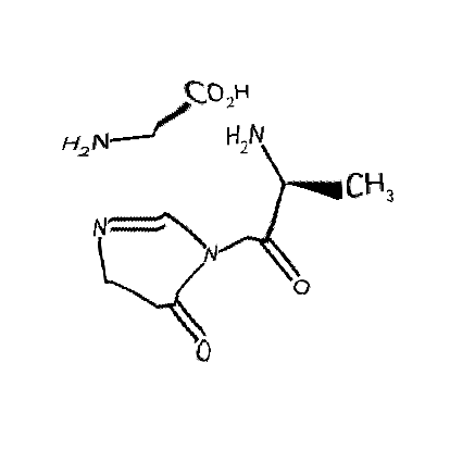 C[C@H](N)C(=O)N1C=NCC1=O.NCC(=O)O